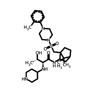 Cc1ccccc1N1CCN(S(=O)(=O)CC23CCC(CC2NC(=O)[C@@H](NC2CCNCC2)[C@H](C)O)C3(C)C)CC1